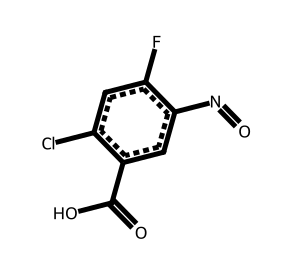 O=Nc1cc(C(=O)O)c(Cl)cc1F